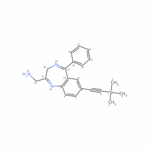 C[Si](C)(C)C#Cc1ccc2c(c1)C(c1ccccc1)=NCC(CN)=N2